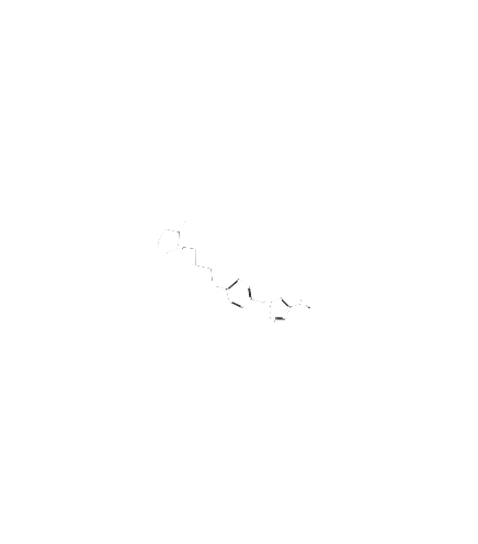 C[C@@H]1CCCN1CCCOc1ccc(-n2cc(N=O)cn2)cc1